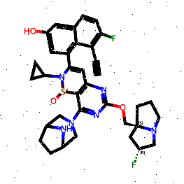 C#Cc1c(F)ccc2cc(O)cc(C3=Cc4nc(OC[C@@]56CCCN5C[C@H](F)C6)nc(N5CC6CCC(C5)N6)c4[S+]([O-])N3C3CC3)c12